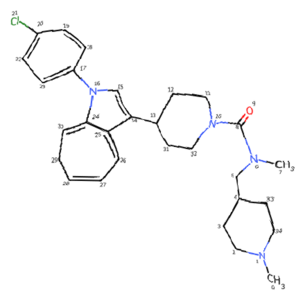 CN1CCC(CN(C)C(=O)N2CCC(c3cn(-c4ccc(Cl)cc4)c4c3=CC=CCC=4)CC2)CC1